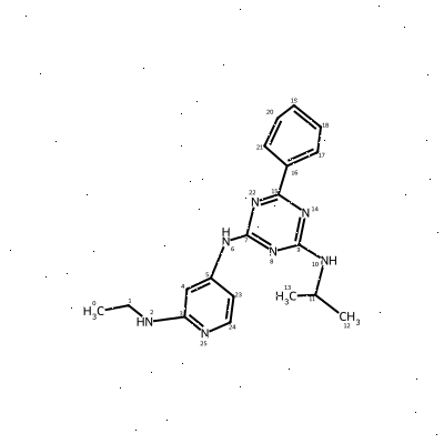 CCNc1cc(Nc2nc(NC(C)C)nc(-c3ccccc3)n2)ccn1